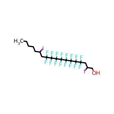 CCCCCC(I)CC(F)(F)C(F)(F)C(F)(F)C(F)(F)C(F)(F)C(F)(F)C(F)(F)C(F)(F)CC(I)CO